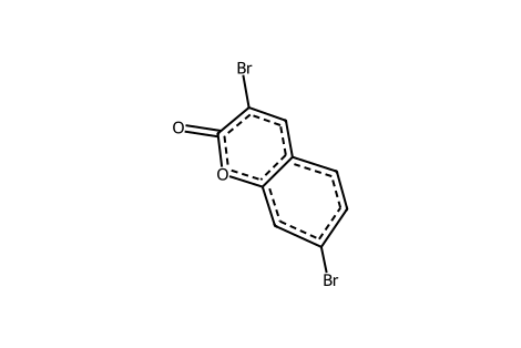 O=c1oc2cc(Br)ccc2cc1Br